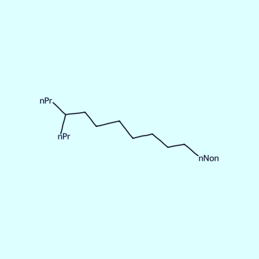 [CH2]CCC(CCC)CCCCCCCCCCCCCCCC